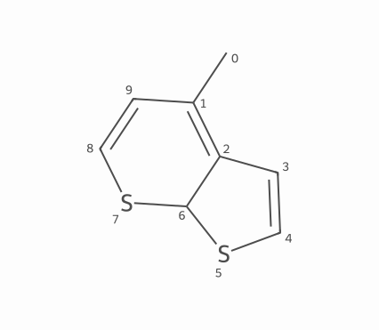 CC1=C2C=CSC2SC=C1